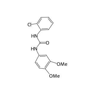 COc1ccc(NC(=O)Nc2ccccc2Cl)cc1OC